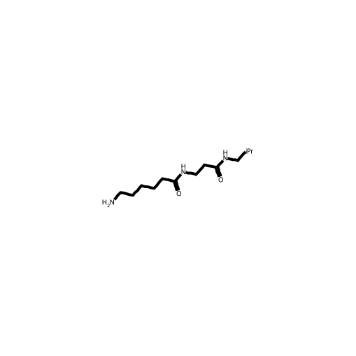 CC(C)CNC(=O)CCNC(=O)CCCCCN